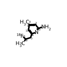 Cc1cc(N)nc(CC(C)[18F])c1